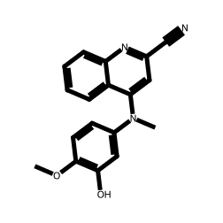 COc1ccc(N(C)c2cc(C#N)nc3ccccc23)cc1O